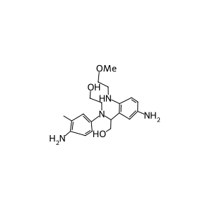 COCCNc1ccc(N)cc1C(CO)N(CCO)c1ccc(N)c(C)c1